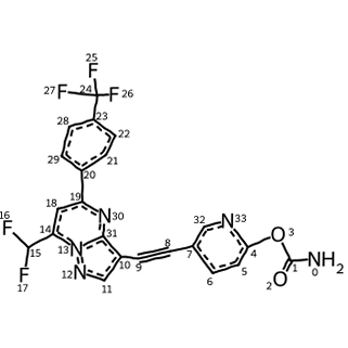 NC(=O)Oc1ccc(C#Cc2cnn3c(C(F)F)cc(-c4ccc(C(F)(F)F)cc4)nc23)cn1